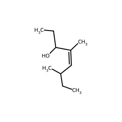 CCC(C)C=C(C)C(O)CC